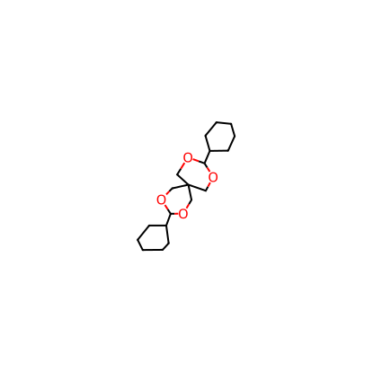 C1CCC(C2OCC3(CO2)COC(C2CCCCC2)OC3)CC1